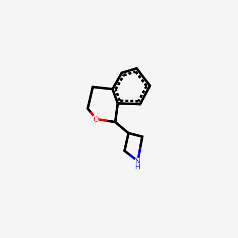 c1ccc2c(c1)CCOC2C1CNC1